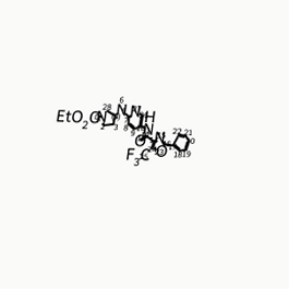 CCOC(=O)N1CC[C@H](N(C)c2ccc(NC(=O)c3nc(-c4ccccc4)oc3C(F)(F)F)cn2)C1